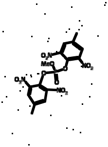 COP(=O)(Oc1c([N+](=O)[O-])cc(C)cc1[N+](=O)[O-])Oc1c([N+](=O)[O-])cc(C)cc1[N+](=O)[O-]